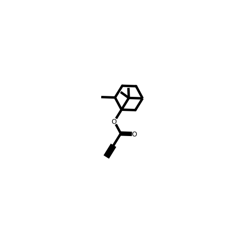 C#CC(=O)OC12CC(CCC1C)C2(C)C